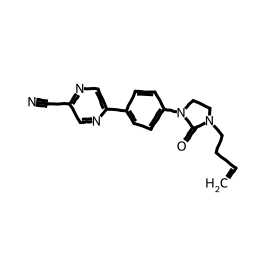 C=CCCN1CCN(c2ccc(-c3cnc(C#N)cn3)cc2)C1=O